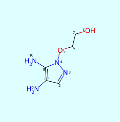 Nc1cnn(OCCO)c1N